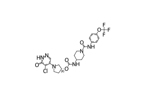 O=C(NC1CCN(C(=O)Nc2ccc(OC(F)(F)F)cc2)CC1)O[C@@H]1CCN(c2cn[nH]c(=O)c2Cl)C1